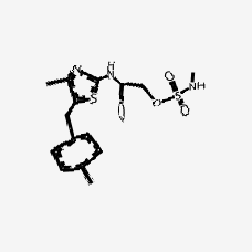 CNS(=O)(=O)OCC(=O)Nc1nc(C)c(Cc2ccc(C)cc2)s1